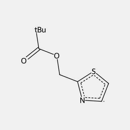 CC(C)(C)C(=O)OCc1n[c]cs1